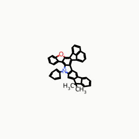 CC1(C)c2ccccc2-c2cc3c4c5c(c6oc7ccccc7c6c4n(-c4ccccc4)c3cc21)-c1cccc2cccc-5c12